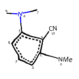 CNc1cccc(N(C)C)c1C#N